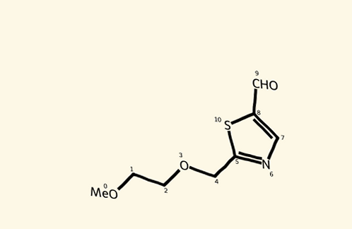 COCCOCc1ncc(C=O)s1